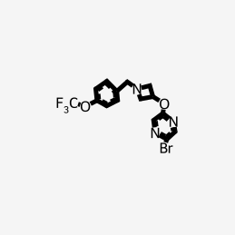 FC(F)(F)Oc1ccc(CN2CC(Oc3cnc(Br)cn3)C2)cc1